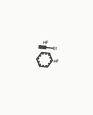 C#CCC.F.F.c1ccccc1